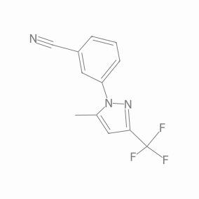 Cc1cc(C(F)(F)F)nn1-c1cccc(C#N)c1